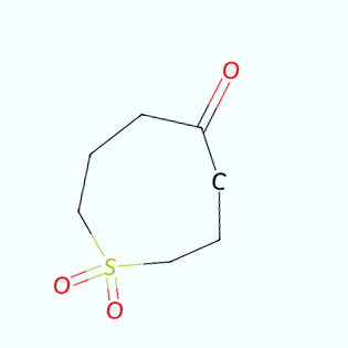 O=C1CCCS(=O)(=O)CCC1